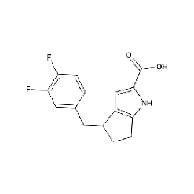 O=C(O)c1cc2c([nH]1)CCC2Cc1ccc(F)c(F)c1